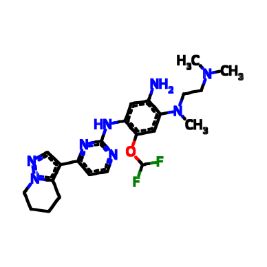 CN(C)CCN(C)c1cc(OC(F)F)c(Nc2nccc(-c3cnn4c3CCCC4)n2)cc1N